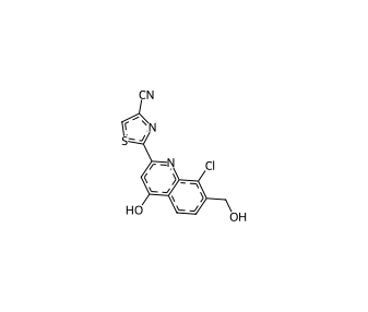 N#Cc1csc(-c2cc(O)c3ccc(CO)c(Cl)c3n2)n1